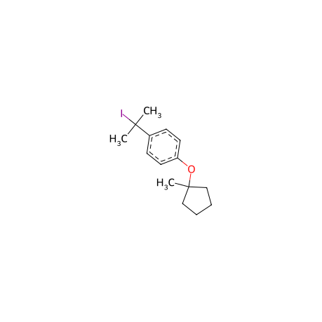 CC1(Oc2ccc(C(C)(C)I)cc2)CCCC1